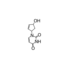 O=c1ccn(C2C=CC(O)C2)c(=O)[nH]1